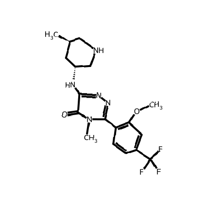 COc1cc(C(F)(F)F)ccc1-c1nnc(N[C@H]2CNC[C@H](C)C2)c(=O)n1C